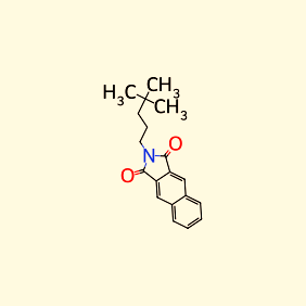 CC(C)(C)CCCN1C(=O)c2cc3ccccc3cc2C1=O